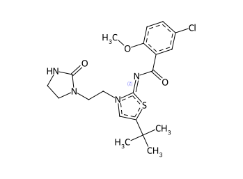 COc1ccc(Cl)cc1C(=O)/N=c1\sc(C(C)(C)C)cn1CCN1CCNC1=O